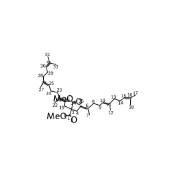 COC(=O)C(C/C=C(\C)CC/C=C(\C)CCC=C(C)C)(C/C=C(\C)CC/C=C(\C)CCC=C(C)C)C(=O)OC